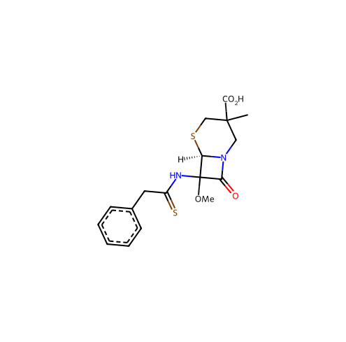 COC1(NC(=S)Cc2ccccc2)C(=O)N2CC(C)(C(=O)O)CS[C@@H]21